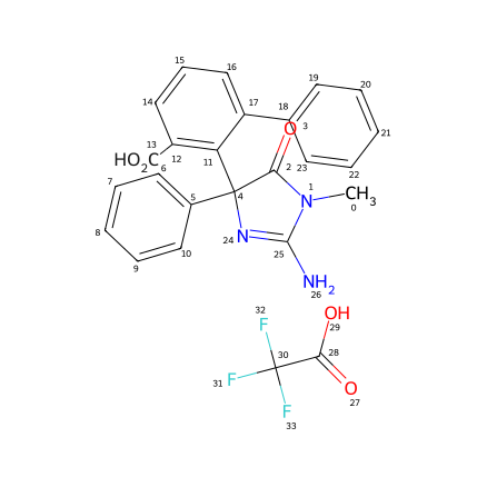 CN1C(=O)C(c2ccccc2)(c2c(C(=O)O)cccc2-c2ccccc2)N=C1N.O=C(O)C(F)(F)F